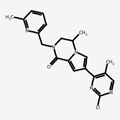 Cc1cccc(CN2CC(C)n3cc(-c4nc(Cl)ncc4C)cc3C2=O)n1